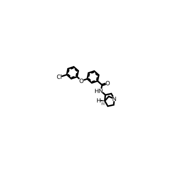 O=C(NC1CN2CC[C@H]1C2)c1cccc(Oc2cccc(Cl)c2)c1